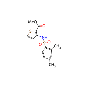 COC(=O)c1sccc1NS(=O)(=O)c1ccc(C)cc1C